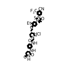 CCc1cc(N2C(=S)N(c3ccc(C#N)c(C(F)(F)F)c3)C(=O)C2(C)C)ccc1OCC[C@H]1CCN(CC(=O)Nc2cccc(NC3CCC(=O)NC3=O)c2)[C@H](C)C1.Cl